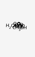 C=C(C)C(=O)Oc1cccc(OP(=O)(O)O)c1CC